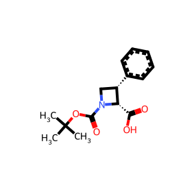 CC(C)(C)OC(=O)N1C[C@H](c2ccccc2)[C@@H]1C(=O)O